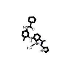 C/C(=C\c1ccc[nH]1)c1cccc(Nc2cc(NC(=O)c3ccccc3)ccc2C)c1NCO